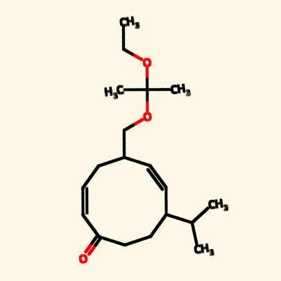 CCOC(C)(C)OCC1/C=C\C(C(C)C)CCC(=O)/C=C\C1